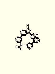 CC(=O)Nc1cncc(-c2cc3c(-c4nc5c(-c6cccnc6)cncc5[nH]4)n[nH]c3cn2)c1